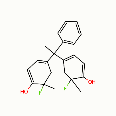 CC1(F)CC(C(C)(C2=CC=C(O)C(C)(F)C2)c2ccccc2)=CC=C1O